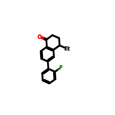 CCC1CCC(=O)c2ccc(-c3ccccc3F)cc21